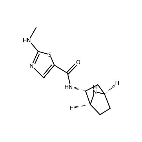 CNc1ncc(C(=O)N[C@@H]2C[C@H]3CC[C@@H]2N3)s1